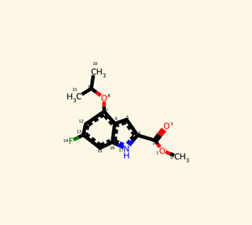 COC(=O)c1cc2c(OC(C)C)cc(F)cc2[nH]1